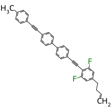 C=CCCc1cc(F)c(C#Cc2ccc(-c3ccc(C#Cc4ccc(C)cc4)cc3)cc2)c(F)c1